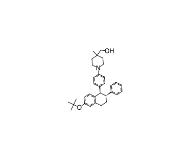 CC1(CO)CCN(c2ccc([C@@H]3c4ccc(OC(C)(C)C)cc4CC[C@@H]3c3ccccc3)cc2)CC1